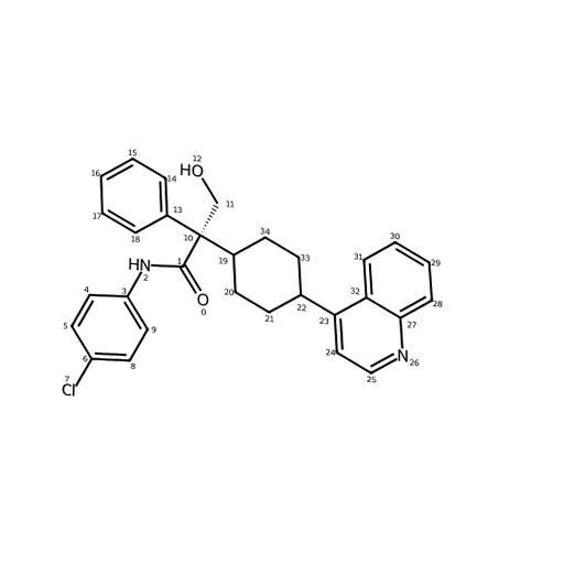 O=C(Nc1ccc(Cl)cc1)[C@@](CO)(c1ccccc1)C1CCC(c2ccnc3ccccc23)CC1